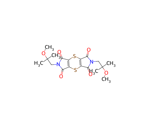 COC(C)(C)Cn1c(=O)c2sc3c(=O)n(CC(C)(C)OC)c(=O)c3sc2c1=O